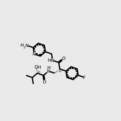 CC(C)[C@H](O)C(=O)NC[C@H](C(=O)NCc1ccc(N)nc1)c1ccc(F)cc1